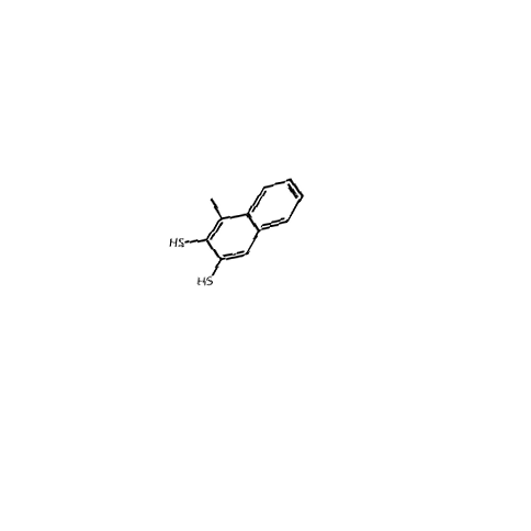 Cc1c(S)c(S)cc2ccccc12